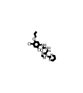 C=CCOc1cc(NC(=O)N[C@@H](C)c2ncnn2-c2ncccn2)c(Cl)cc1Cl